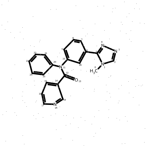 Cn1cnnc1-c1cccc(N(C(=O)c2cccnc2)c2ccccc2)c1